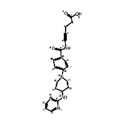 O=C(O)CCC#CNC(=O)c1ccc(N2CCC(Nc3ncccn3)CC2)cc1